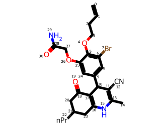 C=C[CH]COc1c(Br)cc(C2C(C#N)=C(C)NC3=C2C(=O)CC(CCC)C3)cc1OCC(N)=O